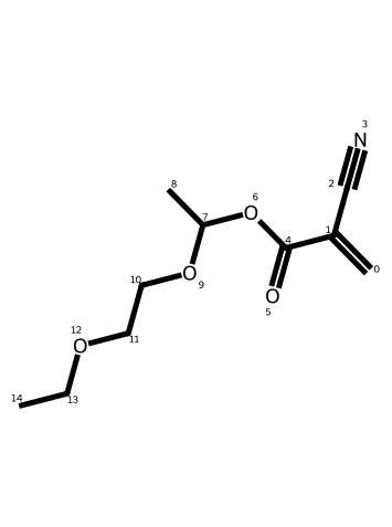 C=C(C#N)C(=O)OC(C)OCCOCC